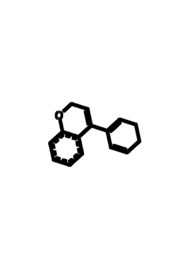 C1=CC(C2=CCOc3ccccc32)=CCC1